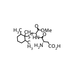 COC(=O)[C@H](CSC1(C)C(C)CCCC1C)NC(=O)[C@@H](N)CC(=O)O